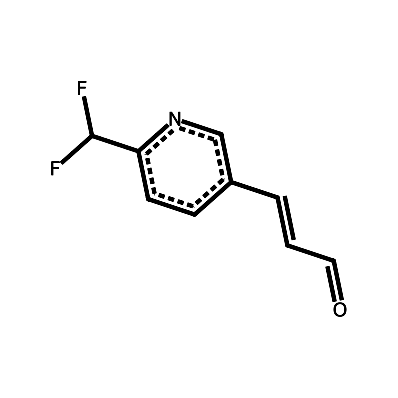 O=C/C=C/c1ccc(C(F)F)nc1